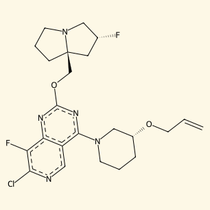 C=CCO[C@@H]1CCCN(c2nc(OC[C@@]34CCCN3C[C@H](F)C4)nc3c(F)c(Cl)ncc23)C1